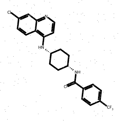 O=C(N[C@H]1CC[C@@H](Nc2ccnc3cc(Cl)ccc23)CC1)c1ccc(C(F)(F)F)cc1